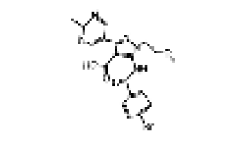 COCCn1nc(-c2cnc(C)nc2)c(C(=O)O)c1NC(=O)c1ccc(Br)cc1